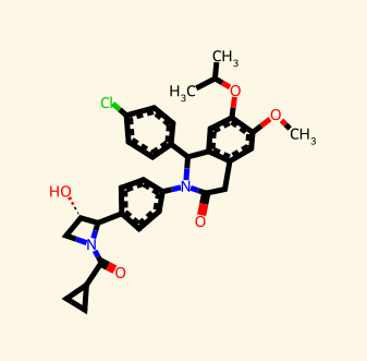 COc1cc2c(cc1OC(C)C)C(c1ccc(Cl)cc1)N(c1ccc(C3[C@@H](O)CN3C(=O)C3CC3)cc1)C(=O)C2